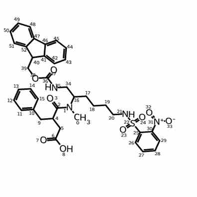 CN(C(=O)C(CC(=O)O)Cc1ccccc1)C(CCCCNS(=O)(=O)c1ccccc1[N+](=O)[O-])CNC(=O)OCC1c2ccccc2-c2ccccc21